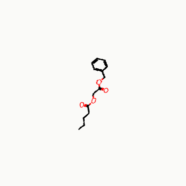 CCCCC(=O)OCC(=O)OCc1ccccc1